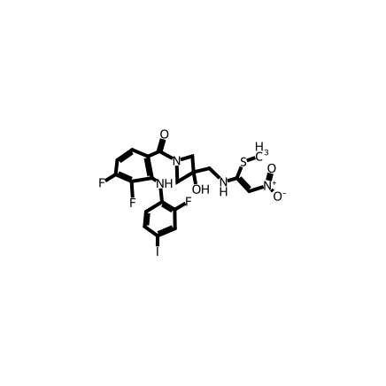 CSC(=C[N+](=O)[O-])NCC1(O)CN(C(=O)c2ccc(F)c(F)c2Nc2ccc(I)cc2F)C1